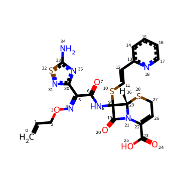 C=CCON=C(C(=O)NC1(S/C=C/c2ccccn2)C(=O)N2C(C(=O)O)=CCS[C@H]21)c1nsc(N)n1